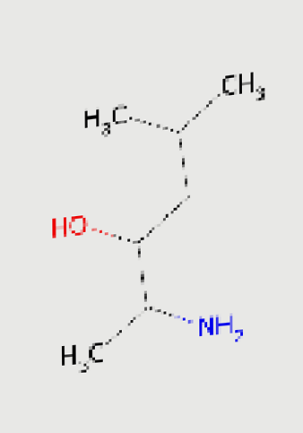 CC(C)CC(O)C(C)N